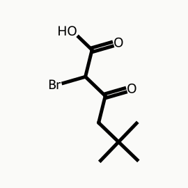 CC(C)(C)CC(=O)C(Br)C(=O)O